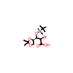 CC1(C)OC[C@H](C(O[Si](C)(C)C(C)(C)C)C(Br)C(=O)O)O1